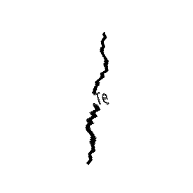 CCCCCCCCCCCCC[Te]CCCCCCCCCCCCC